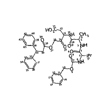 CC(NC(=O)C(NC(=O)OCc1ccccc1)C(C)C)C(=O)NC(CC(=O)O)C(=O)COC(=O)CC(c1ccccc1)c1ccccc1